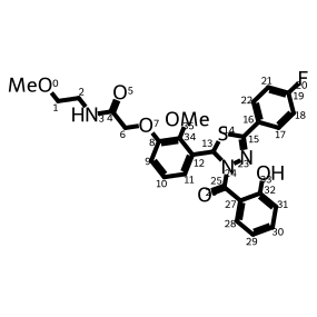 COCCNC(=O)COc1cccc(C2SC(c3ccc(F)cc3)=NN2C(=O)c2ccccc2O)c1OC